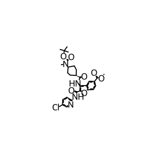 COC(=O)c1ccc2oc(C(=O)Nc3ccc(Cl)cn3)c(NC(=O)[C@H]3CC[C@H](N(C)C(=O)OC(C)(C)C)CC3)c2c1